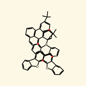 CC(C)(C)c1cc(-c2cccc3cccc(-c4ccccc4N(c4ccccc4-c4ccc5c(c4)oc4ccccc45)c4ccccc4-c4ccc5c(c4)oc4ccccc45)c23)cc(C(C)(C)C)c1